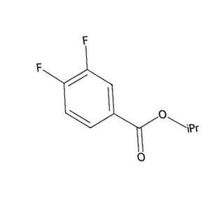 CC(C)OC(=O)c1ccc(F)c(F)c1